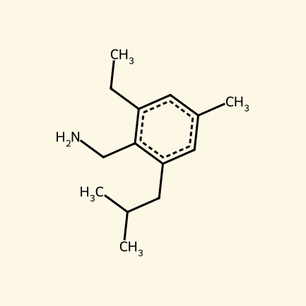 CCc1cc(C)cc(CC(C)C)c1CN